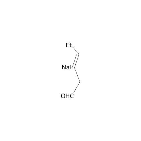 CCC=CCC=O.[NaH]